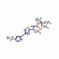 Cc1cc(-c2noc([C@H](C)NC(=O)OC(C)(C)C)n2)ncn1